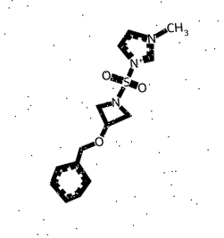 Cn1cc[n+](S(=O)(=O)N2CC(OCc3ccccc3)C2)c1